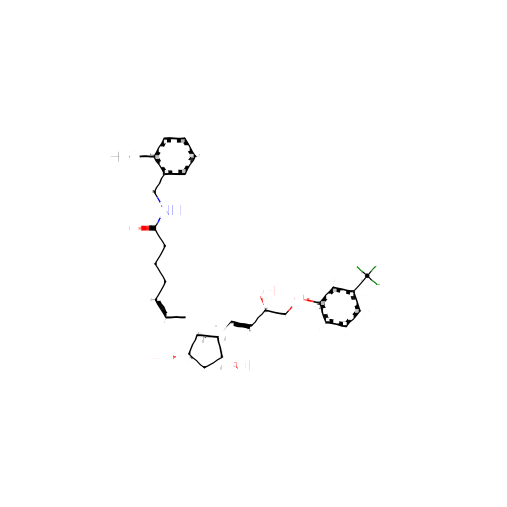 Cc1ccccc1CNC(=O)CCC/C=C\C[C@@H]1[C@@H](/C=C/[C@@H](O)COc2cccc(C(F)(F)F)c2)[C@H](O)C[C@@H]1O